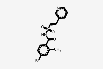 Cc1cc(Br)ccc1C(=O)NS(=O)(=O)C=Cc1cccnc1